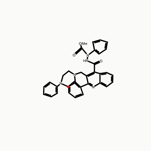 COC(=O)N(NC(=O)c1c(CN2CCN(c3ccccc3)CC2)c(-c2ccccc2)nc2ccccc12)c1ccccc1